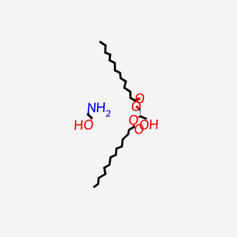 CCCCCCCCCCCCCC(=O)OC[C@H](CO)OC(=O)CCCCCCCCCCCCC.NCCO